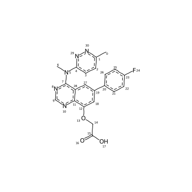 Cc1ccc(N(C)c2ncnc3c(OCC(=O)O)cc(-c4ccc(F)cc4)cc23)nn1